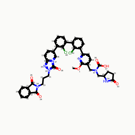 COc1nc(-c2cccc(-c3cccc(-c4ccc5nn(CCCN6C(=O)c7ccccc7C6=O)c(=O)n5c4)c3Cl)c2Cl)ccc1CN(CC1CCC(=O)N1)C(=O)O